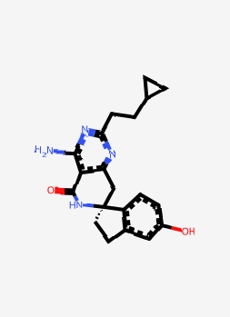 Nc1nc(CCC2CC2)nc2c1C(=O)N[C@@]1(CCc3cc(O)ccc31)C2